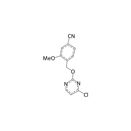 COc1cc(C#N)ccc1COc1nccc(Cl)n1